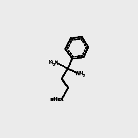 CCCCCCCCC(N)(N)c1ccccc1